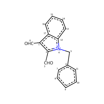 O=Cc1c(C=O)n(Cc2ccccc2)c2ccccc12